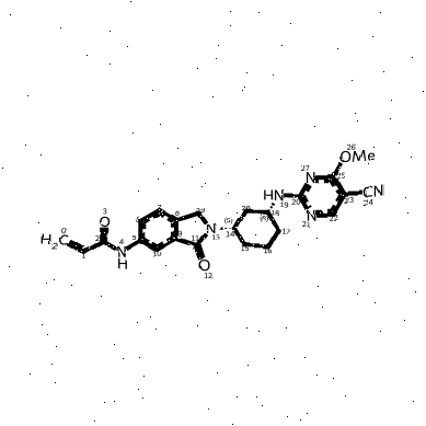 C=CC(=O)Nc1ccc2c(c1)C(=O)N([C@H]1CCC[C@@H](Nc3ncc(C#N)c(OC)n3)C1)C2